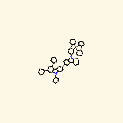 C1=Cc2c(n(-c3ccc4c(c3)C3(c5ccccc5-c5ccccc53)c3ccccc3-4)c3ccc(-c4ccc5c(c4)c4c(-c6ccccc6)cc(-c6ccccc6)cc4n5-c4ccccc4)cc23)CC1